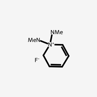 CN[N+]1(NC)C=CC=CC1.[F-]